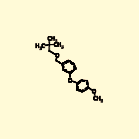 COc1ccc(Oc2cccc(COCC(C)(C)C)c2)cc1